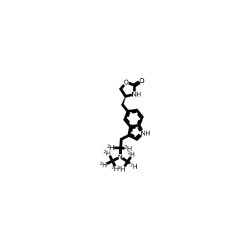 [2H]C([2H])([2H])N(C([2H])([2H])[2H])C([2H])([2H])Cc1c[nH]c2ccc(C[C@H]3COC(=O)N3)cc12